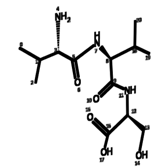 CC(C)[C@H](N)C(=O)N[C@H](C(=O)N[C@@H](CO)C(=O)O)C(C)C